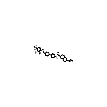 CCCC1CCC2CC(C(=O)Oc3ccc(C4CCC(COc5ccc(OCC)c(F)c5F)CC4)cc3)CCC2C1